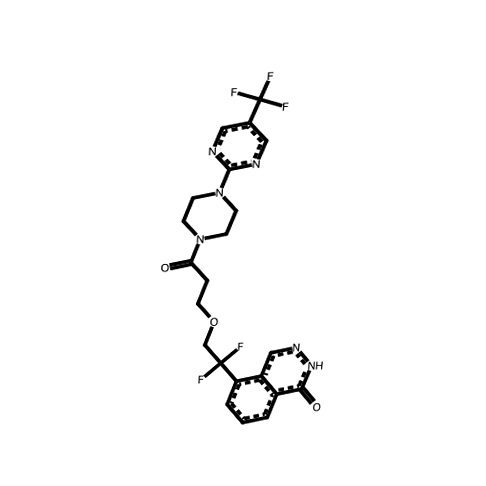 O=C(CCOCC(F)(F)c1cccc2c(=O)[nH]ncc12)N1CCN(c2ncc(C(F)(F)F)cn2)CC1